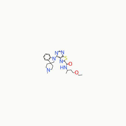 CCOCCC(C)NC(=O)c1nc2c(N3CC4(CCN(C)CC4)c4ccccc43)ncnc2s1